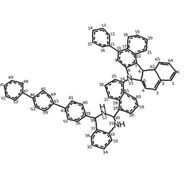 C1=CC2=CC=C3C(c4c(cc(-c5ccccc5)c5ccccc45)N3c3cccc4c(C5Nc6ccccc6C(c6ccc(-c7ccc(-c8ccccc8)cc7)cc6)N5)cccc34)C2C=C1